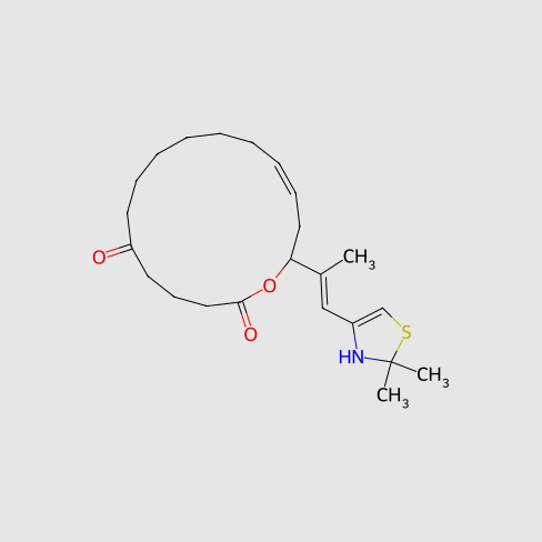 C/C(=C\C1=CSC(C)(C)N1)C1C/C=C\CCCCCCC(=O)CCCC(=O)O1